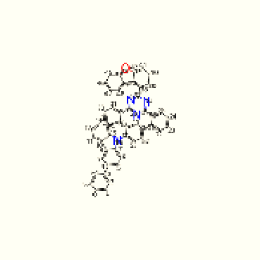 c1ccc(-c2ccc3c(c2)c2ccccc2n3-c2ccc(-c3ccccc3-c3nc(-c4ccccc4)nc(-c4cccc5oc6ccccc6c45)n3)cc2)cc1